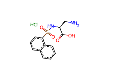 Cl.NC[C@H](NS(=O)(=O)c1cccc2ccccc12)C(=O)O